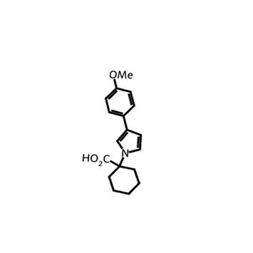 COc1ccc(-c2ccn(C3(C(=O)O)CCCCC3)c2)cc1